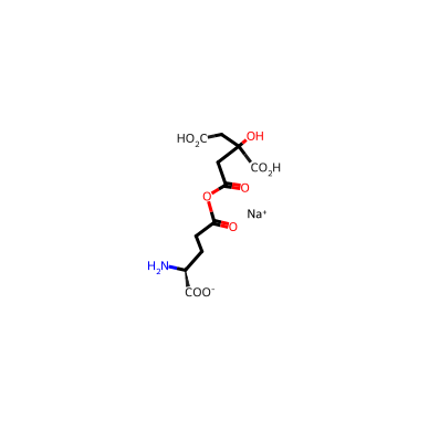 N[C@@H](CCC(=O)OC(=O)CC(O)(CC(=O)O)C(=O)O)C(=O)[O-].[Na+]